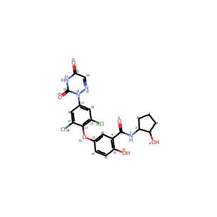 O=C(NC1CCCC1O)c1cc(Oc2c(Cl)cc(-n3ncc(=O)[nH]c3=O)cc2Cl)ccc1O